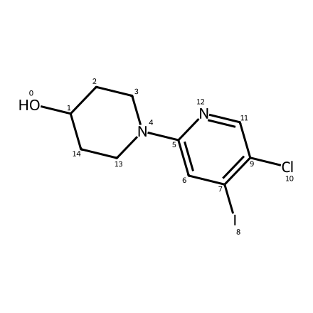 OC1CCN(c2cc(I)c(Cl)cn2)CC1